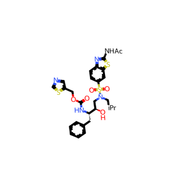 CC(=O)Nc1nc2ccc(S(=O)(=O)N(CC(C)C)C[C@@H](O)[C@H](Cc3ccccc3)NC(=O)OCc3cncs3)cc2s1